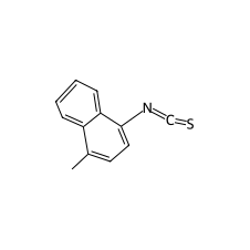 Cc1ccc(N=C=S)c2ccccc12